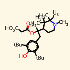 CCCC(Cc1cc(C(C)(C)C)c(O)c(C(C)(C)C)c1)(OC(=O)CC(=O)O)C1CCN(C)C(C)(C)C1(C)C